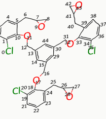 Clc1cccc(CC2CO2)c1OCc1cc(COc2c(Cl)cccc2CC2CO2)cc(COc2c(Cl)cccc2CC2CO2)c1